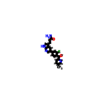 NC(=O)/C=C/c1c[nH]c2ncc(-c3ccc(C(=O)c4ccc(C(F)(F)F)cn4)c(F)c3)cc12